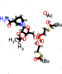 CC(=O)[O-].CC1(C)OC2C(COP(=O)(OCCSC(=O)C(C)(C)C)OCCSC(=O)C(C)(C)C)OC([n+]3cccc(C(N)=O)c3)C2O1